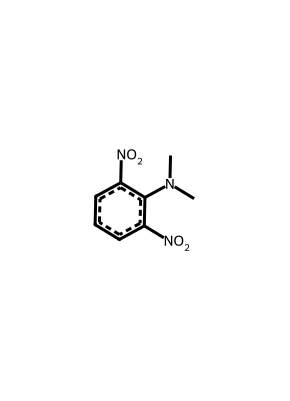 CN(C)c1c([N+](=O)[O-])cccc1[N+](=O)[O-]